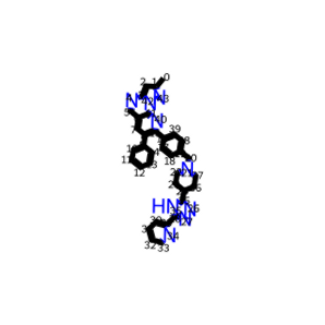 Cc1cc2ncc3cc(-c4ccccc4)c(-c4ccc(CN5CCC(c6nnc(-c7ccccn7)[nH]6)CC5)cc4)nc3n2n1